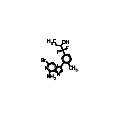 CCC(O)C(F)(F)c1ccc(C)c(-c2cnc3c(N)nc(Br)cn23)c1